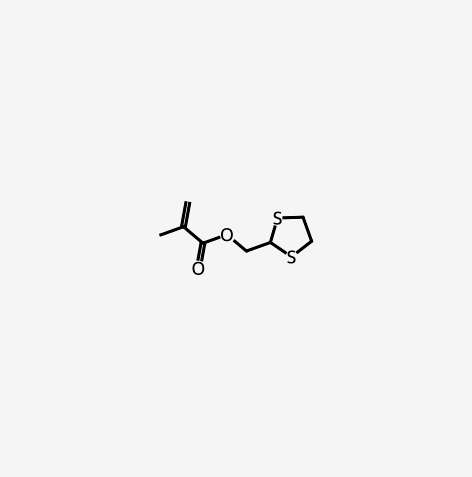 C=C(C)C(=O)OCC1SCCS1